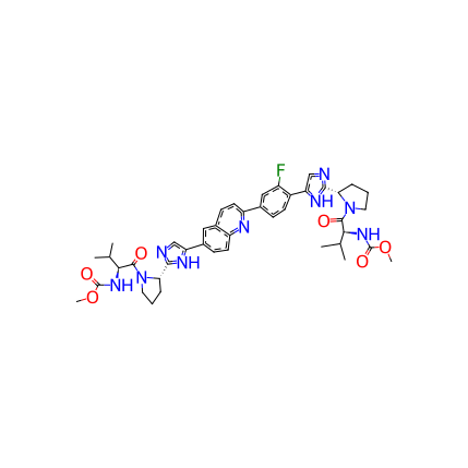 COC(=O)N[C@H](C(=O)N1CCC[C@H]1c1ncc(-c2ccc3nc(-c4ccc(-c5cnc([C@@H]6CCCN6C(=O)[C@@H](NC(=O)OC)C(C)C)[nH]5)c(F)c4)ccc3c2)[nH]1)C(C)C